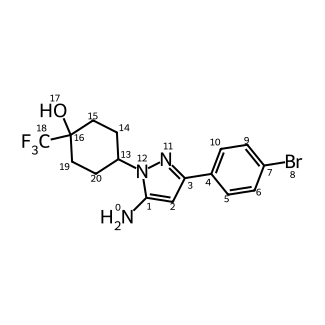 Nc1cc(-c2ccc(Br)cc2)nn1C1CCC(O)(C(F)(F)F)CC1